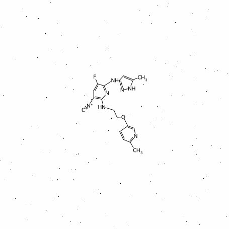 [C-]#[N+]c1cc(F)c(Nc2cc(C)[nH]n2)nc1NCCOc1ccc(C)nc1